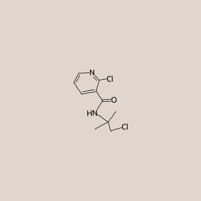 CC(C)(CCl)NC(=O)c1cccnc1Cl